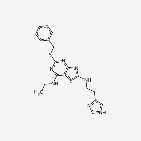 CCNc1nc(SCc2ccccc2)nc2nc(NCCc3c[nH]cn3)sc12